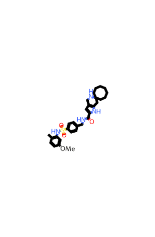 COc1ccc(C)c(NS(=O)(=O)c2ccc(CNC(=O)c3cc4c([nH]3)CC3(CCCCCCC3)NC4)cc2)c1